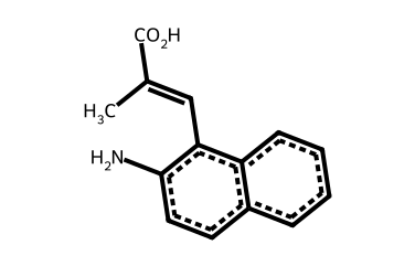 CC(=Cc1c(N)ccc2ccccc12)C(=O)O